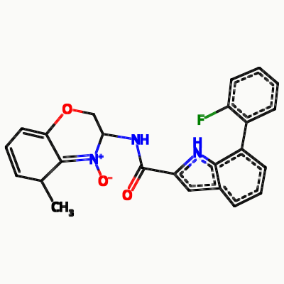 CC1C=CC=C2OCC(NC(=O)c3cc4cccc(-c5ccccc5F)c4[nH]3)[N+]([O-])=C21